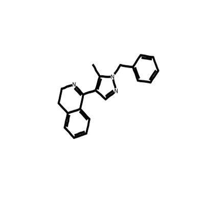 Cc1c(C2=NCCc3ccccc32)cnn1Cc1ccccc1